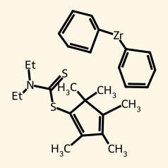 CCN(CC)C(=S)SC1=C(C)C(C)=C(C)C1(C)C.c1cc[c]([Zr][c]2ccccc2)cc1